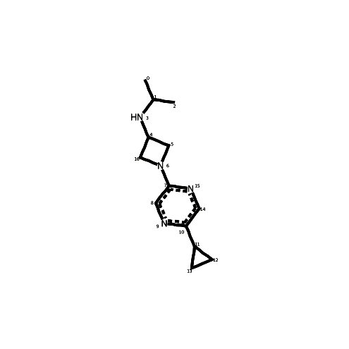 CC(C)NC1CN(c2cnc(C3CC3)cn2)C1